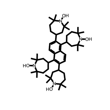 CC1(C)CCC(c2ccc3c(C4CCC(C)(C)N(O)C(C)(C)C4)c(C4CCC(C)(C)N(O)C(C)(C)C4)ccc3c2C2CCC(C)(C)N(O)C(C)(C)C2)CC(C)(C)N1O